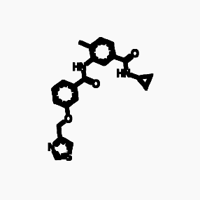 Cc1ccc(C(=O)NC2CC2)cc1NC(=O)c1cccc(OCc2cscn2)c1